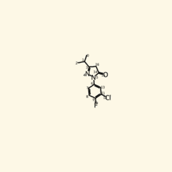 CC(C)C1=NN(c2ccc(F)c(Cl)c2)C(=O)C1